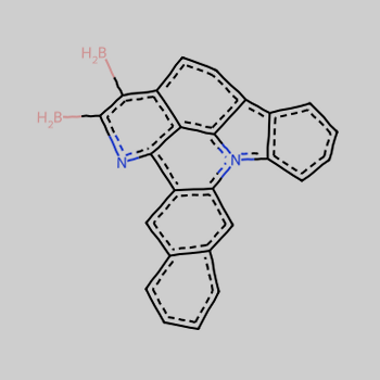 Bc1nc2c3cc4ccccc4cc3n3c4ccccc4c4ccc(c1B)c2c43